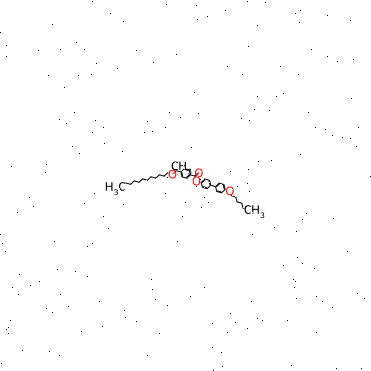 CCCCCCCCCCCCOC(C)c1ccc(C(=O)Oc2ccc(-c3ccc(OCCCCCC)cc3)cc2)cc1